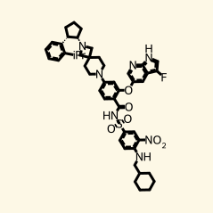 CC(C)c1ccccc1[C@@H]1CCC[C@@H]1N1CC2(CCN(c3ccc(C(=O)NS(=O)(=O)c4ccc(NCC5CCCCC5)c([N+](=O)[O-])c4)c(Oc4cnc5[nH]cc(F)c5c4)c3)CC2)C1